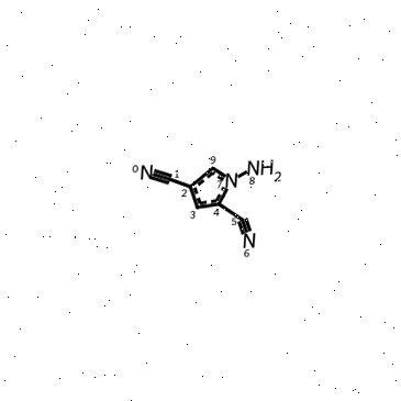 N#Cc1cc(C#N)n(N)c1